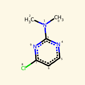 CN(C)c1nc[c]c(Cl)n1